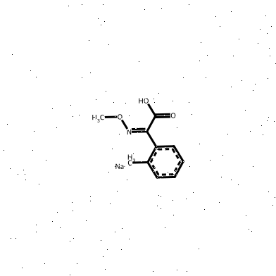 CON=C(C(=O)O)c1ccccc1C.[Na]